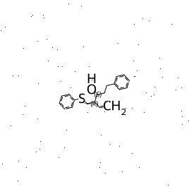 C=C[C@@H](CSc1ccccc1)[C@@H](O)CCc1ccccc1